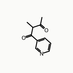 CC(=O)C(C)C(=O)c1cccnc1